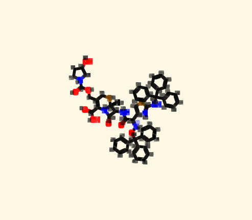 O=C(O)C1=C(COC(=O)N2CCC(O)C2)CS[C@@H]2C(NC(=O)/C(=N\OC(c3ccccc3)(c3ccccc3)c3ccccc3)c3csc(NC(c4ccccc4)(c4ccccc4)c4ccccc4)n3)C(=O)N12